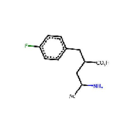 CC(=O)C(N)CC(Cc1ccc(F)cc1)C(=O)O